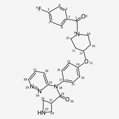 O=C(c1ccc(F)cc1)N1CCC(Oc2ccc(N(C(=O)C3CNC3)c3cccnn3)cc2)CC1